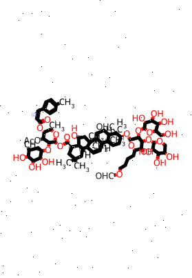 CC(=O)OC1C(OC(=O)/C=C\c2ccc(C)cc2)C(C)OC(OC(=O)[C@@H]2CC(C)(C)C[C@@H]3C2[C@H](O)C[C@]2(C)C3C=C[C@@H]3[C@@]4(C)CC[C@H](OC5OC(CCCCOC=O)C(O)C(OC6OCC(O)C(O)C6O)C5OC5OC(CO)C(O)C(O)C5O)[C@@](C)(C=O)[C@@H]4CC[C@]32C)C1OC1CC(C)C(O)C(O)C1O